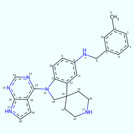 Cc1cccc(CNc2ccc3c(c2)C2(CCNCC2)CN3c2ncnc3[nH]ccc23)c1